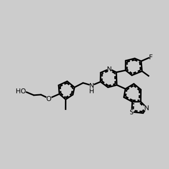 Cc1cc(-c2ncc(NCc3ccc(OCCO)c(C)c3)cc2-c2ccc3ncsc3c2)ccc1F